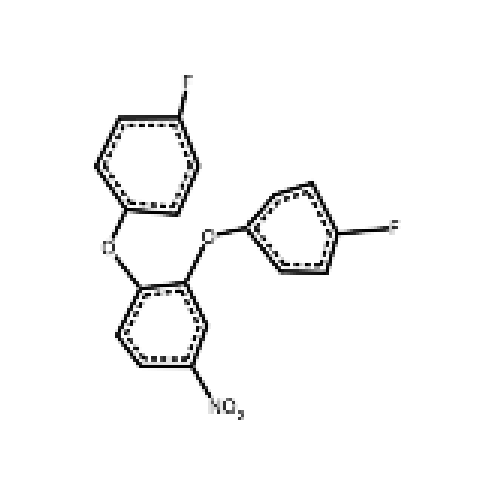 O=[N+]([O-])c1ccc(Oc2ccc(F)cc2)c(Oc2ccc(F)cc2)c1